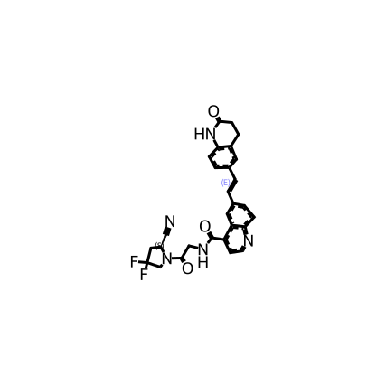 N#C[C@@H]1CC(F)(F)CN1C(=O)CNC(=O)c1ccnc2ccc(/C=C/c3ccc4c(c3)CCC(=O)N4)cc12